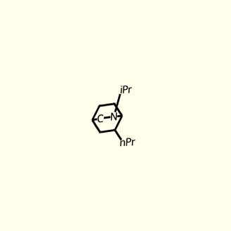 CCCC1CC2CCC1N(C(C)C)C2